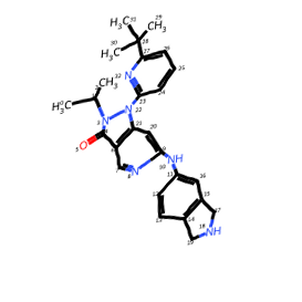 CC(C)n1c(=O)c2cnc(Nc3ccc4c(c3)CNC4)cc2n1-c1cccc(C(C)(C)C)n1